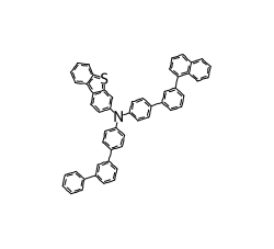 c1ccc(-c2cccc(-c3ccc(N(c4ccc(-c5cccc(-c6cccc7ccccc67)c5)cc4)c4ccc5c(c4)sc4ccccc45)cc3)c2)cc1